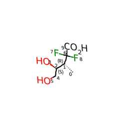 C[C@H]([C@H](O)CO)C(F)(F)C(=O)O